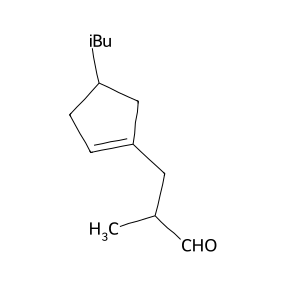 CCC(C)C1CC=C(CC(C)C=O)C1